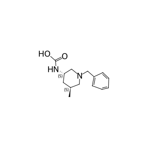 C[C@H]1C[C@H](NC(=O)O)CN(Cc2ccccc2)C1